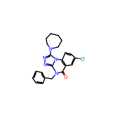 O=c1c2cc(Cl)ccc2n2c(N3CCCCCC3)nnc2n1Cc1ccccc1